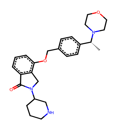 C[C@H](c1ccc(COc2cccc3c2CN(C2CCCNC2)C3=O)cc1)N1CCOCC1